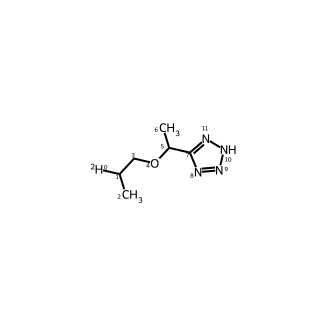 [2H]C(C)COC(C)c1nn[nH]n1